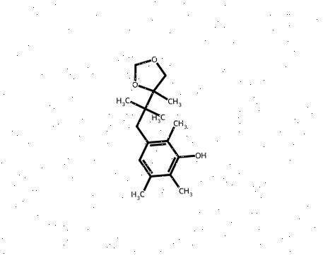 Cc1cc(CC(C)(C)C2(C)COCO2)c(C)c(O)c1C